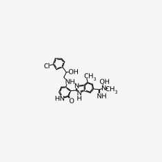 Cc1cc(C(=N)N(C)O)cc2[nH]c(-c3c(NCC(O)c4cccc(Cl)c4)cc[nH]c3=O)nc12